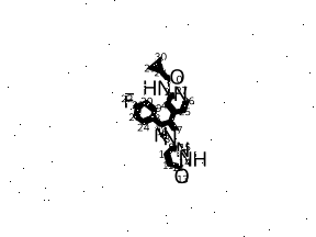 O=C(Nc1cc(-c2cn(-c3ccc(=O)[nH]n3)nc2-c2ccc(F)cc2)ccn1)C1CC1